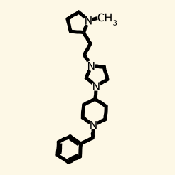 CN1CCCC1CCN1CCN(C2CCN(Cc3ccccc3)CC2)C1